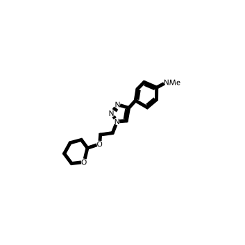 CNc1ccc(-c2cn(CCOC3CCCCO3)nn2)cc1